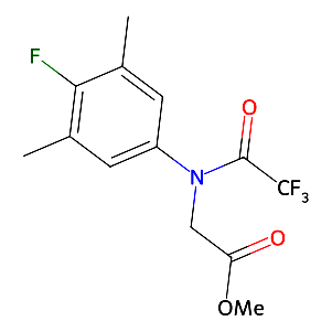 COC(=O)CN(C(=O)C(F)(F)F)c1cc(C)c(F)c(C)c1